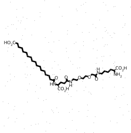 N[C@@H](CCCCNC(=O)COCCOCCNC(=O)CC[C@H](NC(=O)CCCCCCCCCCCCCCCCC(=O)O)C(=O)O)C(=O)O